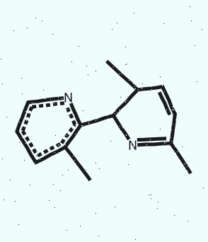 CC1=NC(c2ncccc2C)C(C)C=C1